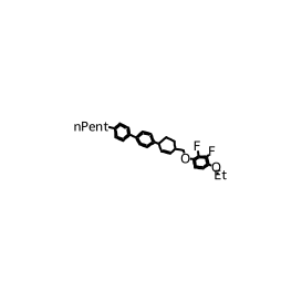 CCCCCc1ccc(-c2ccc(C3C=CC(COc4ccc(OCC)c(F)c4F)CC3)cc2)cc1